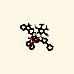 CC(C)c1c(C#N)c(-n2c3ccc(-c4ccccc4)cc3c3cc4c(cc32)C(C)(C)c2ccccc2-4)c(-n2c3ccc(-c4ccccc4)cc3c3cc4c(cc32)C(C)(C)c2ccccc2-4)c(C#N)c1C(C)C